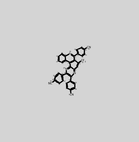 N#Cc1ccc(-c2nc3cc(C(F)(F)F)c4c(-c5ccc(C#N)cc5)nc5ccccc5c4c3nc2-c2ccc(C#N)cc2)cc1